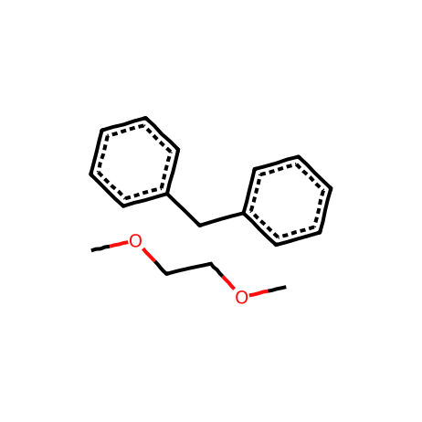 COCCOC.c1ccc(Cc2ccccc2)cc1